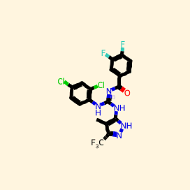 Cc1c(C(F)(F)F)n[nH]c1N/C(=N\C(=O)c1ccc(F)c(F)c1)Nc1ccc(Cl)cc1Cl